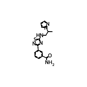 CC(CNc1nc(-c2cccc(C(N)=O)c2)ns1)n1cccn1